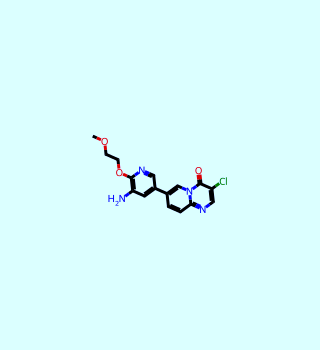 COCCOc1ncc(-c2ccc3ncc(Cl)c(=O)n3c2)cc1N